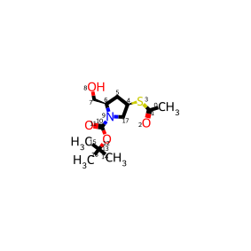 CC(=O)S[C@@H]1C[C@H](CO)N(C(=O)OC(C)(C)C)C1